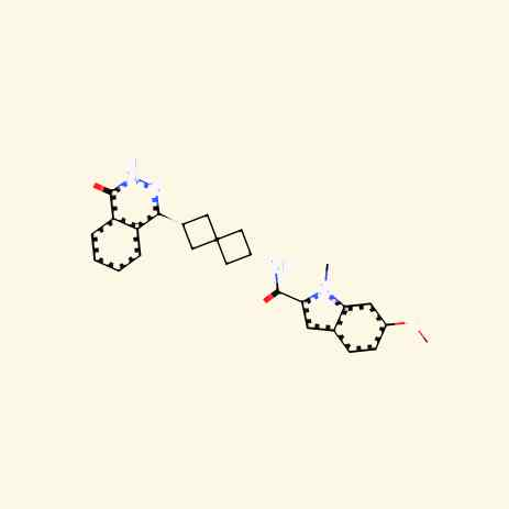 COc1ccc2cc(C(=O)N[C@H]3CC4(C3)C[C@H](c3n[nH]c(=O)c5ccccc53)C4)n(C)c2c1